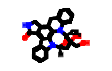 C[C@@]12O[C@@H](C[C@@]1(O)CO)n1c3ccccc3c3c4c(c5c(c31)N2c1ccccc1C5)CNC4=O